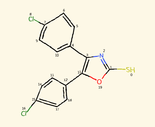 Sc1nc(-c2ccc(Cl)cc2)c(-c2ccc(Cl)cc2)o1